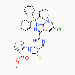 CCOC(=O)C1C2C=CC(CC2)C1n1cc(F)c2cnc(-c3nn(C(c4ccccc4)(c4ccccc4)c4ccccc4)c4ncc(Cl)cc34)nc21